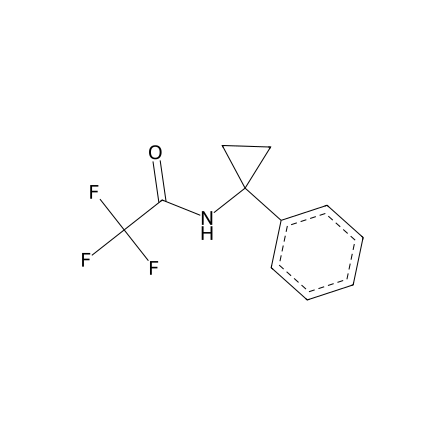 O=C(NC1(c2ccccc2)CC1)C(F)(F)F